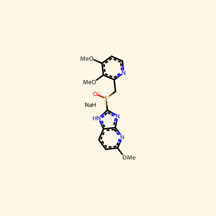 COc1ccc2[nH]c([S+]([O-])Cc3nccc(OC)c3OC)nc2n1.[NaH]